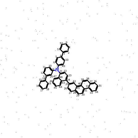 c1ccc(-c2ccc(N(c3cccc(-c4ccccc4)c3)c3ccc(-c4ccc5ccc6c7ccccc7ccc6c5c4)c4ccccc34)cc2)cc1